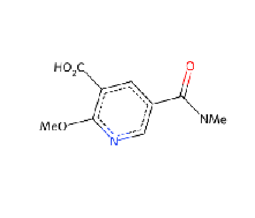 CNC(=O)c1cnc(OC)c(C(=O)O)c1